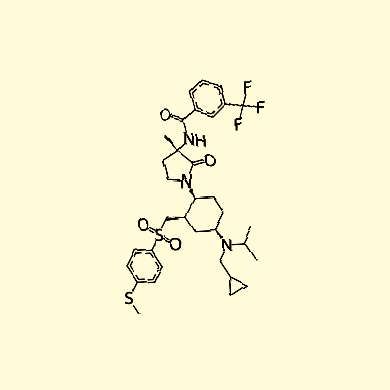 CSc1ccc(S(=O)(=O)C[C@@H]2C[C@H](N(CC3CC3)C(C)C)CC[C@@H]2N2CC[C@](C)(NC(=O)c3cccc(C(F)(F)F)c3)C2=O)cc1